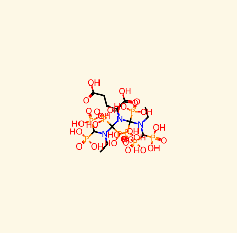 CCN(C(P(=O)(O)O)P(=O)(O)O)C(N([C@@H](CCC(=O)O)C(=O)O)C(N(CC)C(P(=O)(O)O)P(=O)(O)O)(P(=O)(O)O)P(=O)(O)O)(P(=O)(O)O)P(=O)(O)O